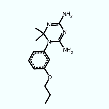 CCCOc1cccc(N2C(N)=NC(N)=NC2(C)C)c1